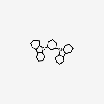 C1CCC2C(C1)C1CCCCC1N2C1CCCC(N2C3CCCCC3C3CCCCC32)C1